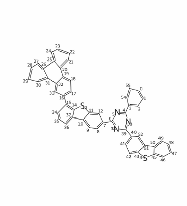 c1ccc(-c2nc(-c3ccc4c(c3)sc3c(-c5ccc6c7ccccc7c7ccccc7c6c5)cccc34)nc(-c3ccc4sc5ccccc5c4c3)n2)cc1